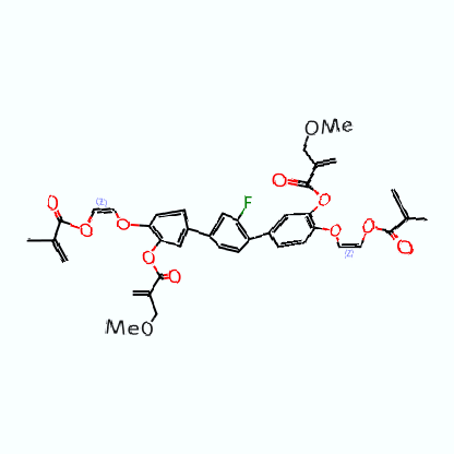 C=C(C)C(=O)O/C=C\Oc1ccc(-c2ccc(-c3ccc(O/C=C\OC(=O)C(=C)C)c(OC(=O)C(=C)COC)c3)c(F)c2)cc1OC(=O)C(=C)COC